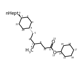 CCCCCCC[C@H]1CC[C@H](CCC(C)CCC(=O)OC2CCCCC2)CC1